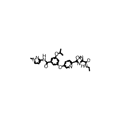 CCNC(=O)c1noc(-c2ccc(Oc3cc(OC(C)C)cc(C(=O)Nc4ccn(C)n4)c3)cn2)n1